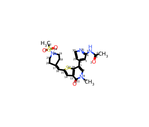 CC(=O)Nc1cc(-c2cn(C)c(=O)c3cc(C=C4CCN(S(C)(=O)=O)CC4)sc23)ccn1